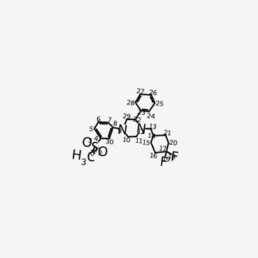 CS(=O)(=O)c1cccc(N2CCN(CC3CCC(F)(F)CC3)C(c3ccccc3)C2)c1